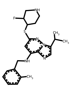 Cc1ccccc1CNc1cc(SC2CCNCC2F)nn2c(C(C)C)cnc12